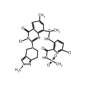 CCn1c(N2CCc3nn(C)cc3C2)nc2c([C@@H](C)Nc3ccc(Cl)nc3C(=O)NS(C)(=O)=O)cc(C)cc2c1=O